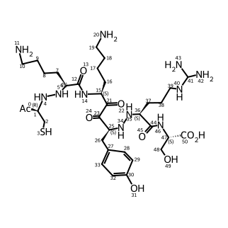 CC(=O)[C@H](CS)NN[C@@H](CCCCN)C(=O)N[C@@H](CCCCN)C(=O)C(=O)[C@H](Cc1ccc(O)cc1)NN[C@@H](CCCNC(N)N)C(=O)N[C@@H](CO)C(=O)O